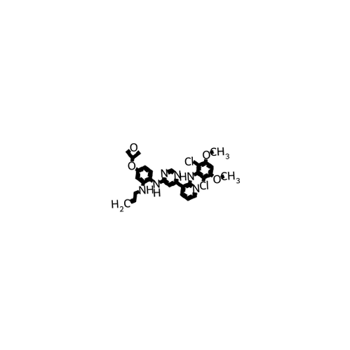 C=CCNc1cc(OC2COC2)ccc1Nc1cc(-c2cccnc2Nc2c(Cl)c(OC)cc(OC)c2Cl)ncn1